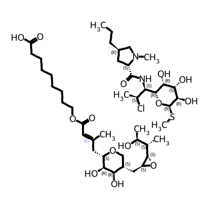 C/C(=C\C(=O)OCCCCCCCCC(=O)O)C[C@@H]1OC[C@H](C[C@@H]2O[C@H]2[C@@H](C)[C@H](C)O)[C@@H](O)[C@H]1O.CCC[C@@H]1C[C@@H](C(=O)N[C@@H]([C@H]2O[C@H](SC)[C@H](O)[C@@H](O)[C@H]2O)[C@H](C)Cl)N(C)C1